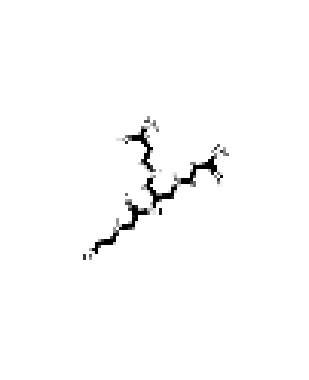 CCCOCC(=O)NC(COCCC(C)=O)COCCC(C)=O